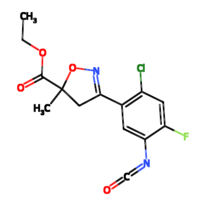 CCOC(=O)C1(C)CC(c2cc(N=C=O)c(F)cc2Cl)=NO1